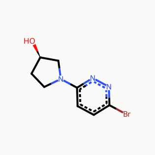 O[C@@H]1CCN(c2ccc(Br)nn2)C1